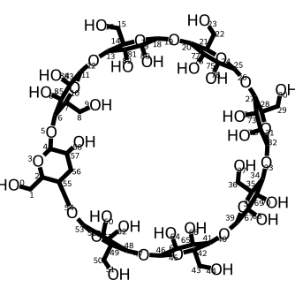 OCC1OC2OC3C(CO)OC(OC4C(CO)OC(OC5C(CO)OC(OC6C(CO)OC(OC7C(CO)OC(OC8C(CO)OC(OC9C(CO)OC(OC1CC2O)C(O)C9O)C(O)C8O)C(O)C7O)C(O)C6O)C(O)C5O)C(O)C4O)C(O)C3O